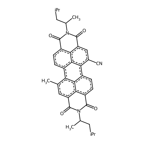 Cc1cc2c3c(ccc4c5c(C#N)cc6c7c(ccc(c1c34)c75)C(=O)N(C(C)CC(C)C)C6=O)C(=O)N(C(C)CC(C)C)C2=O